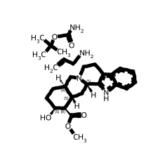 C=CCN.CC(C)(C)OC(N)=O.COC(=O)[C@@H]1[C@H]2C[C@H]3c4[nH]c5ccccc5c4CCN3C[C@@H]2CC[C@@H]1O